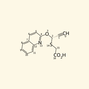 C#C[C@@H](Oc1ccc2ccccc2n1)SCC(=O)O